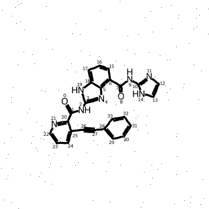 O=C(Nc1nc2c(C(=O)Nc3ncc[nH]3)cccc2[nH]1)c1ncccc1C#Cc1ccccc1